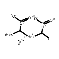 CCCCCCC(C)[PH](=O)[O-].CCCCCCC(C)[PH](=O)[O-].[Ni+2]